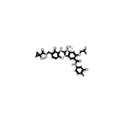 Cn1c(Nc2c(Cl)ccc(CNC(=O)C3(O)CC3)c2Cl)nc2cc(C(=O)Nc3ccc(F)c(Cl)c3)c(OCC(F)F)cc21